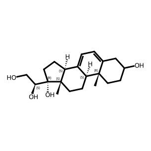 C[C@]12CCC(O)CC1=CC=C1[C@@H]2CC[C@@]2(C)[C@H]1CC[C@]2(O)[C@@H](O)CO